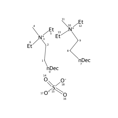 CCCCCCCCCCCC[N+](C)(CC)CC.CCCCCCCCCCCC[N+](C)(CC)CC.O=S(=O)([O-])[O-]